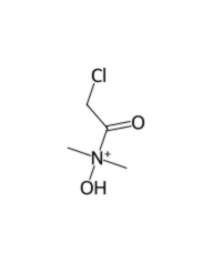 C[N+](C)(O)C(=O)CCl